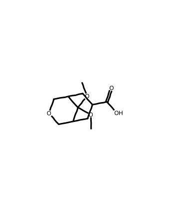 COC1(OC)C2COCC1CC(C(=O)O)C2